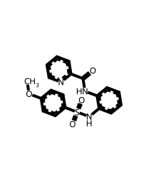 COc1ccc(S(=O)(=O)Nc2ccccc2NC(=O)c2ccccn2)cc1